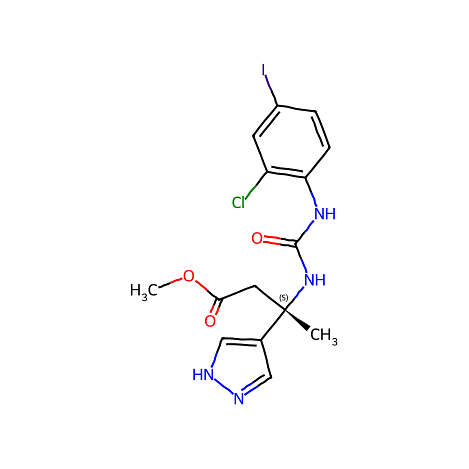 COC(=O)C[C@](C)(NC(=O)Nc1ccc(I)cc1Cl)c1cn[nH]c1